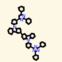 c1ccc(-c2cc(-c3cccc(-n4c5ccccc5c5cc(-c6ccc7c(c6)c6ccccc6n7-c6cccc(-c7nc(-c8ccccc8)nc(-c8ccccc8)n7)c6)ccc54)c3)nc(-c3ccccc3)n2)cc1